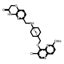 COc1ccc2ncc(Cl)c(OCC34CCC(NCc5ccc6c(n5)NC(=O)CO6)(CC3)CC4)c2n1